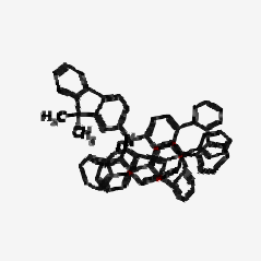 CC1(C)c2ccccc2-c2ccc(N(c3ccc4c(c3)C3(c5ccccc5-c5ccccc5-4)c4ccccc4-c4cc5c(cc43)oc3ccccc35)c3ccccc3-c3ccc(-c4ccccc4)cc3)cc21